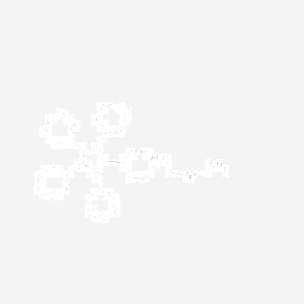 C[CH2][Al+][CH2]C.c1ccc(-c2c(-c3ccccc3)c(-c3ccccc3)[c-](-c3ccccc3)c2-c2ccccc2)cc1